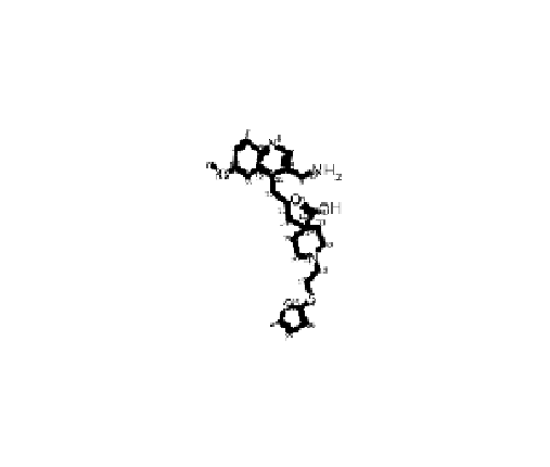 COc1ccc2ncc(CN)c(CCCC3(C(=O)O)CCN(CCSc4cccs4)CC3)c2c1